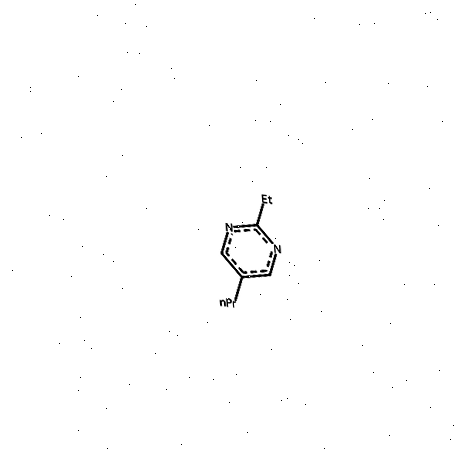 CCCc1cnc(CC)nc1